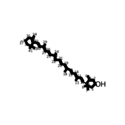 CC1=C[C@H](O)CC(C)(C)[C@H]1/C=C/C(C)=C/C=C/C(C)=C/C=C/C=C(C)/C=C/C=C(C)/C=C/C1=C(C)C[C@@H](C)CC1(C)C